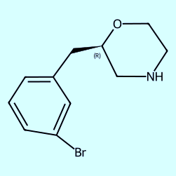 Brc1cccc(C[C@@H]2CNCCO2)c1